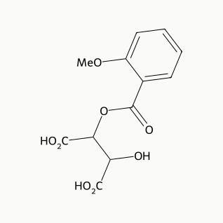 COc1ccccc1C(=O)OC(C(=O)O)C(O)C(=O)O